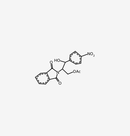 CC(=O)OCC(C(O)c1ccc([N+](=O)[O-])cc1)N1C(=O)c2ccccc2C1=O